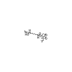 COC1C(OC(=O)NCCCCCCNC(=O)CNI)CC[C@]2(CO2)C1[C@@]1(C)O[C@@H]1CC=C(C)C